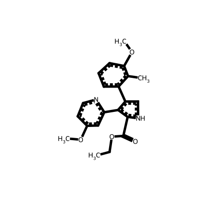 CCOC(=O)c1[nH]cc(-c2cccc(OC)c2C)c1-c1cc(OC)ccn1